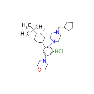 CC(C)(C)C1CCC(c2cc(N3CCOCC3)ccc2N2CCN(CC3CCCC3)CC2)CC1.Cl